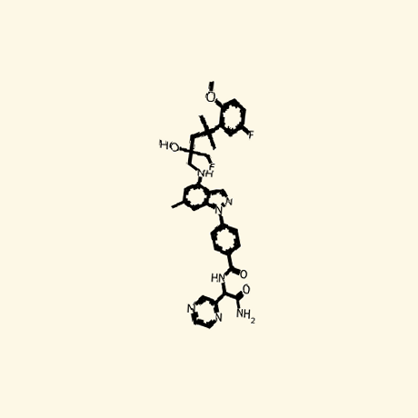 COc1ccc(F)cc1C(C)(C)CC(O)(CF)CNc1cc(C)cc2c1cnn2-c1ccc(C(=O)NC(C(N)=O)c2cnccn2)cc1